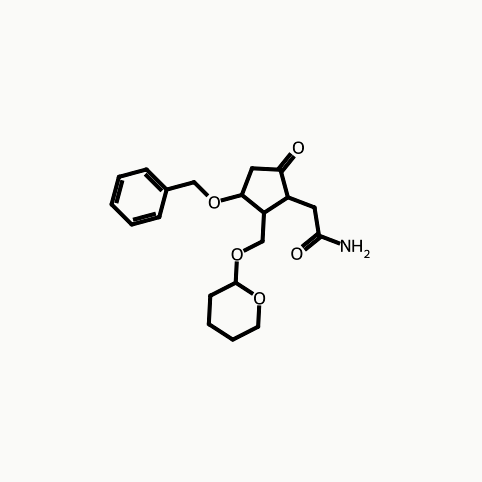 NC(=O)CC1C(=O)CC(OCc2ccccc2)C1COC1CCCCO1